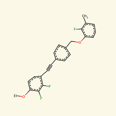 CCOc1ccc(C#Cc2ccc(COc3cccc(C)c3F)cc2)c(F)c1F